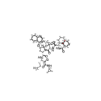 CCC[C@H](NC(=O)[C@@H]1C[C@@H](Oc2ncnc3ccccc23)CN1C(=O)[C@@H](NC(=O)[C@@H](NC(=O)c1cnccn1)C1CCCCC1)C(C)(C)C)C(=O)C(=O)NC1CC1